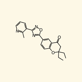 CCC1(CC)CC(=O)c2cc(-c3nc(-c4cccnc4C)no3)ccc2O1